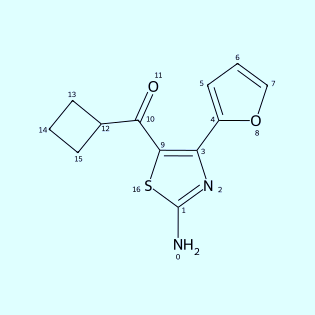 Nc1nc(-c2ccco2)c(C(=O)C2CCC2)s1